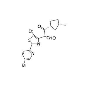 CCc1sc(-c2ccc(Br)cn2)nc1C(C=O)C(=O)[C@@H]1CC[C@H](C)C1